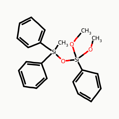 CO[Si](OC)(O[Si](C)(c1ccccc1)c1ccccc1)c1ccccc1